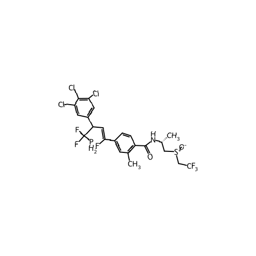 Cc1cc(/C(F)=C/C(c2cc(Cl)c(Cl)c(Cl)c2)C(F)(F)P)ccc1C(=O)N[C@H](C)C[S+]([O-])CC(F)(F)F